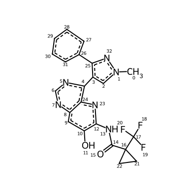 Cn1cc(-c2ncnc3cc(O)c(NC(=O)C4(C(F)(F)F)CC4)nc23)c(-c2ccccc2)n1